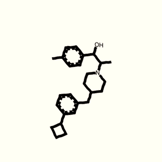 Cc1ccc(C(O)C(C)N2CCC(Cc3cccc(C4CCC4)c3)CC2)cc1